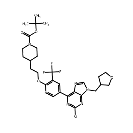 CC(C)(C)OC(=O)N1CCC(CCOc2ncc(-c3nc(Cl)nc4c3ncn4CC3CCOC3)cc2C(F)(F)F)CC1